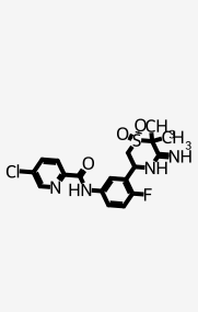 CC1(C)C(=N)NC(c2cc(NC(=O)c3ccc(Cl)cn3)ccc2F)CS1(=O)=O